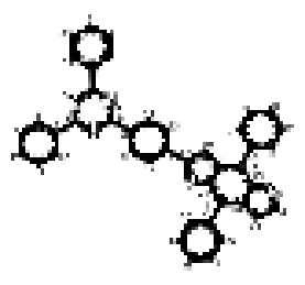 c1ccc(-c2nc(-c3ccccc3)nc(-c3ccc(-c4cc5c(-c6ccccc6)c6sccc6c(-c6ccccc6)c5s4)cc3)n2)cc1